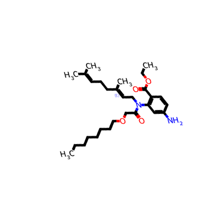 CCCCCCCCOCC(=O)N(C/C=C(\C)CCC=C(C)C)c1cc(N)ccc1C(=O)OCC